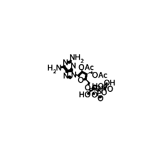 CC(=O)OC[C@H]1[C@@H](OC(C)=O)[C@H](n2cnc3c(N)nc(N)nc32)O[C@@H]1COP(=O)(O)OP(=O)(O)OP(=O)(O)O